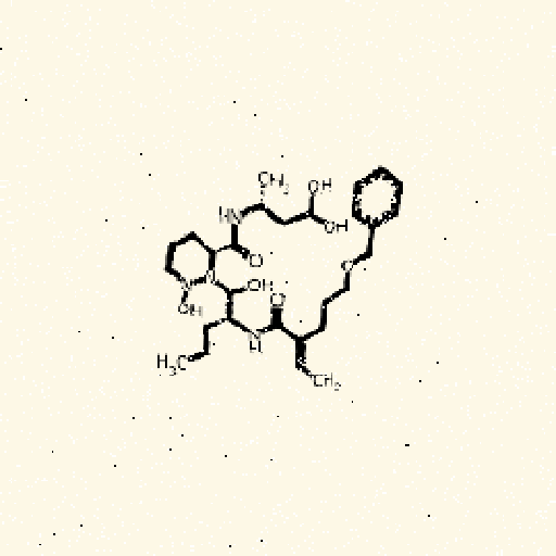 C/C=C(\CCCOCc1ccccc1)C(=O)N[C@@H](CCC)C(O)N1[C@H](C(=O)N[C@H](C)CC(O)O)CCCN1O